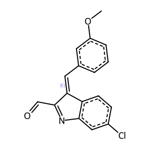 COc1cccc(/C=C2/C(C=O)=Nc3cc(Cl)ccc32)c1